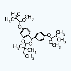 CCC(C)(C)C(=O)OC(c1ccc(OC(OC)C(C)C)cc1)c1ccc(OC(OC)C(C)C)cc1